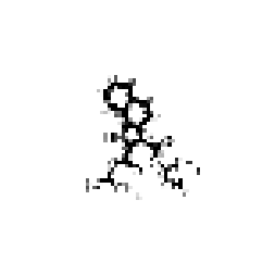 CC(C)OC(=O)c1[nH]c2c(ccc3ccccc32)c1C(=O)OC(C)C